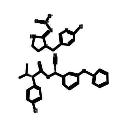 CC(C)[C@H](C(=O)O[C@H](C#N)c1cccc(Oc2ccccc2)c1)c1ccc(Cl)cc1.O=[N+]([O-])/N=C1\NCCN1Cc1ccc(Cl)nc1